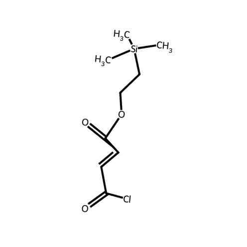 C[Si](C)(C)CCOC(=O)C=CC(=O)Cl